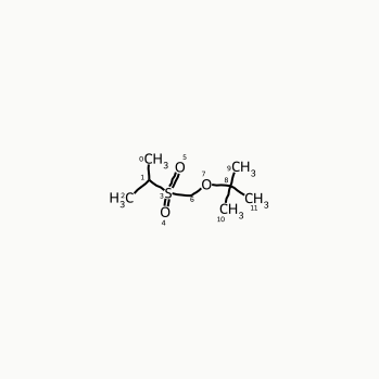 CC(C)S(=O)(=O)COC(C)(C)C